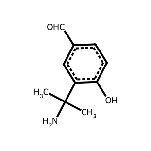 CC(C)(N)c1cc(C=O)ccc1O